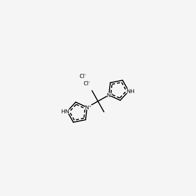 CC(C)([n+]1cc[nH]c1)[n+]1cc[nH]c1.[Cl-].[Cl-]